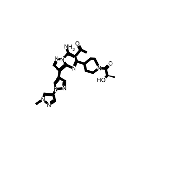 CC(=O)c1c(C2CCN(C(=O)[C@@H](C)O)CC2)nc2c(-c3cnn(-c4cnn(C)c4)c3)cnn2c1N